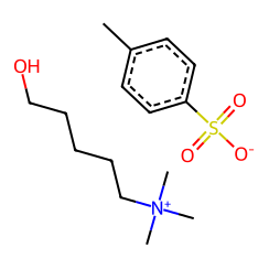 C[N+](C)(C)CCCCCO.Cc1ccc(S(=O)(=O)[O-])cc1